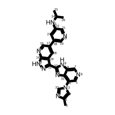 Cc1cn(-c2cncc3[nH]c(-c4n[nH]c5ncc(-c6cncc(NC(C)C)c6)cc45)nc23)cn1